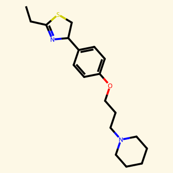 CCC1=NC(c2ccc(OCCCN3CCCCC3)cc2)CS1